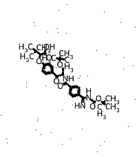 CC(C)(C)OCC(NC(=O)c1ccc(C(=N)NC(=O)OC(C)(C)C)cc1)C(=O)c1ccc(OC(C(=O)O)C(C)(C)C)cc1